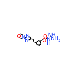 N=C(N)NC(=O)OCc1cccc(CCc2cnc(N3CCOCC3)nc2)c1